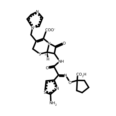 Nc1nc(C(=NOC2(C(=O)O)CCCC2)C(=O)NC2C(=O)N3C(C(=O)[O-])=C(C[n+]4ccncc4)CS[C@@H]23)cs1